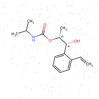 C=Cc1ccccc1[C@@H](O)[C@@H](C)OC(=O)NC(C)C